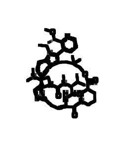 CCn1c(-c2cccnc2[C@H](C)OC)c2c3cc(ccc31)-c1csc(n1)C/C=C(\NC(=O)[C@H](C(C)C)N(C)C(=O)N1CC(N(C)C)C1)C(=O)N1CCC[C@@](O)(N1)C(=O)OCC(C)(C)C2